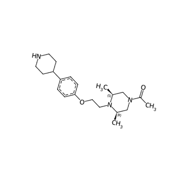 CC(=O)N1C[C@@H](C)N(CCOc2ccc(C3CCNCC3)cc2)[C@@H](C)C1